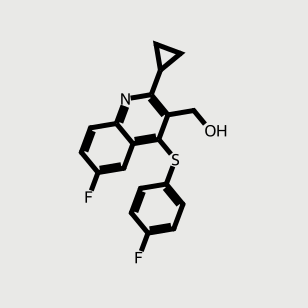 OCc1c(C2CC2)nc2ccc(F)cc2c1Sc1ccc(F)cc1